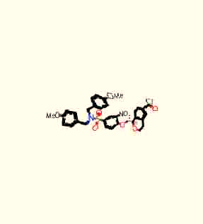 COc1ccc(CN(Cc2ccc(OC)cc2)S(=O)(=O)c2ccc(OC[C@H]3OCCc4cc(C(=O)Cl)ccc43)c([N+](=O)[O-])c2)cc1